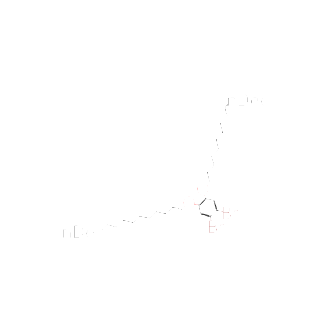 CCCCCCCCCCCCCCCCCCCCOc1cc(Br)c(Br)cc1OCCCCCCCCCCCCCCCCCCCC